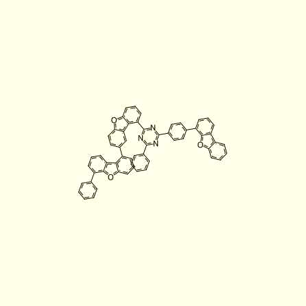 c1ccc(-c2nc(-c3ccc(-c4cccc5c4oc4ccccc45)cc3)nc(-c3cccc4oc5ccc(-c6cccc7oc8c(-c9ccccc9)cccc8c67)cc5c34)n2)cc1